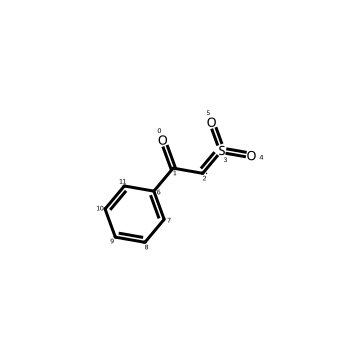 O=C([C]=S(=O)=O)c1ccccc1